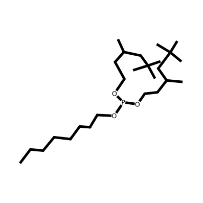 CCCCCCCCOP(OCCC(C)CC(C)(C)C)OCCC(C)CC(C)(C)C